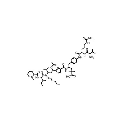 CCCCCON(C(=O)[C@@H](NC(=O)[C@H]1CCCCN1C)[C@@H](C)CC)[C@H](C[C@@H](OC(C)=O)c1nc(C(=O)N[C@@H](Cc2ccc(NC(=O)[C@H](CCCNC(N)=O)NC(=O)[C@@H](N)C(C)C)cc2)CC(C)(C)C(=O)O)cs1)C(C)C